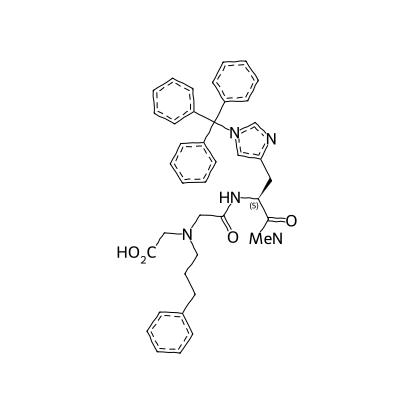 CNC(=O)[C@H](Cc1cn(C(c2ccccc2)(c2ccccc2)c2ccccc2)cn1)NC(=O)CN(CCCc1ccccc1)CC(=O)O